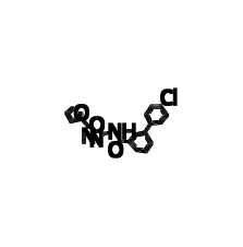 O=C(Nc1nnc(-c2ccco2)o1)c1cccc(-c2ccc(Cl)cc2)c1